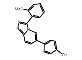 COc1ccccc1-c1nnc2ccc(-c3ccc(O)cc3)cn12